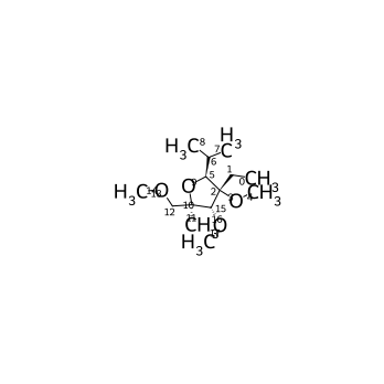 CC[C@]1(OC)[C@H](C(C)C)O[C@](C)(COC)[C@H]1OC